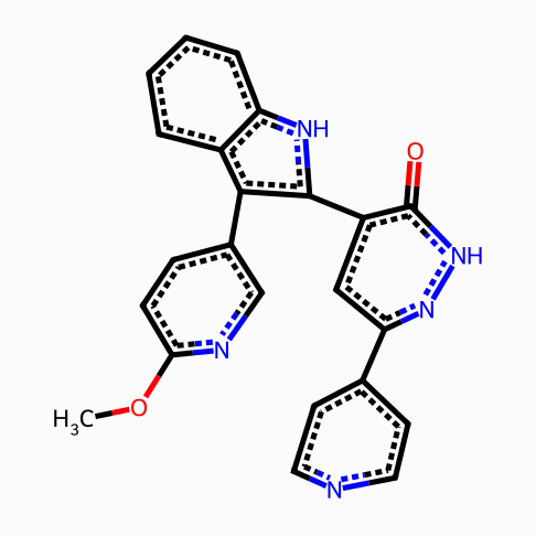 COc1ccc(-c2c(-c3cc(-c4ccncc4)n[nH]c3=O)[nH]c3ccccc23)cn1